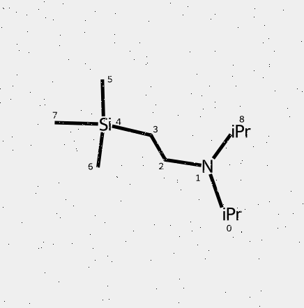 CC(C)N(CC[Si](C)(C)C)C(C)C